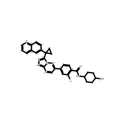 O=C(NC1CCC(O)CC1)c1ccc(-c2cnc3nnc(C4(c5ccc6ncccc6c5)CC4)n3n2)cc1F